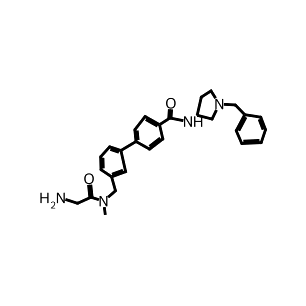 CN(Cc1cccc(-c2ccc(C(=O)NC3CCN(Cc4ccccc4)C3)cc2)c1)C(=O)CN